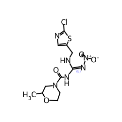 CC1CN(C(=O)N/C(=N/[N+](=O)[O-])NCc2cnc(Cl)s2)CCO1